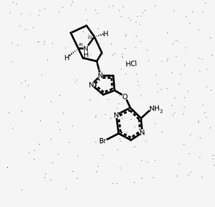 Cl.Nc1ncc(Br)nc1Oc1cnn(C2C[C@H]3CC[C@@H](C2)N3)c1